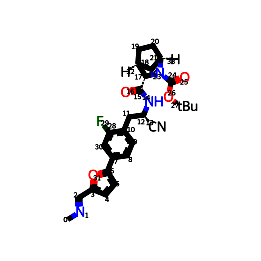 C/N=C/c1ccc(-c2ccc(C[C@@H](C#N)NC(=O)[C@@H]3[C@H]4CC[C@H](C4)N3C(=O)OC(C)(C)C)c(F)c2)o1